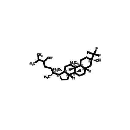 CC(C)C(O)CC[C@@H](C)[C@H]1CC[C@H]2[C@@H]3CC[C@H]4C[C@](O)(C(F)(F)F)CC[C@]4(C)[C@H]3CC[C@]12C